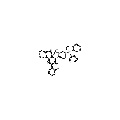 CC1CC(P(=O)(c2ccccc2)c2ccccc2)=CC=C1c1c2ccc3ccccc3c2nc2c1ccc1ccccc12